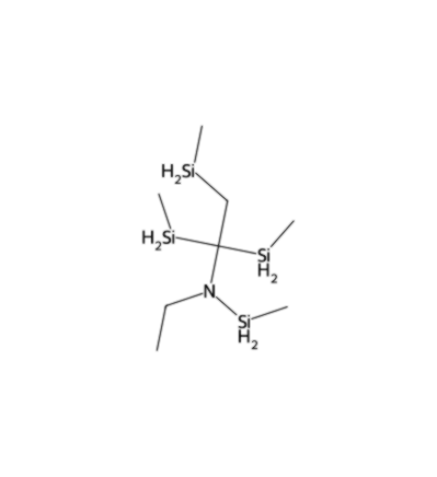 CCN([SiH2]C)C(C[SiH2]C)([SiH2]C)[SiH2]C